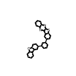 c1cc(-c2ccc3oc4ccccc4c3c2)cc(-c2ccc3sc4nc5ccccc5nc4c3c2)c1